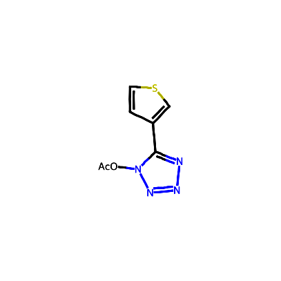 CC(=O)On1nnnc1-c1ccsc1